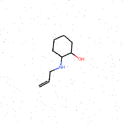 C=CCNC1CCCCC1O